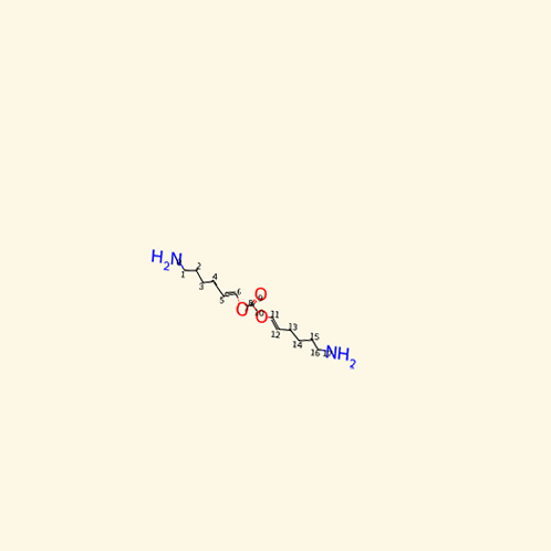 NCCCCC=COC(=O)OC=CCCCCN